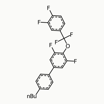 CCCCc1ccc(-c2cc(F)c(OC(F)(F)c3ccc(F)c(F)c3)c(F)c2)cc1